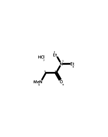 CCN(CC)C(=O)CNC.Cl